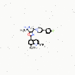 C=C(c1nc(-c2ccc(OC)c3nc(C(F)(F)F)ccc23)oc1C(C)N)N1CC=C(c2ccc(F)cc2)CC1